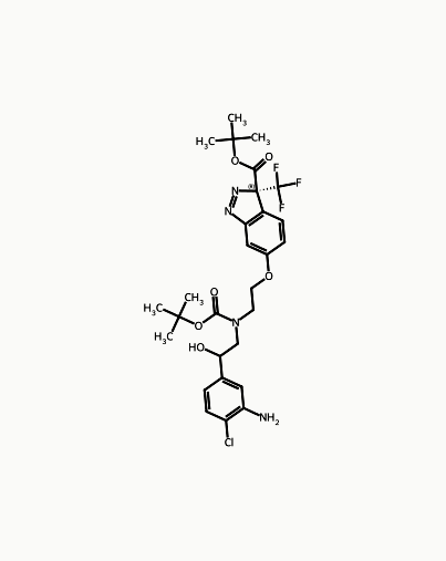 CC(C)(C)OC(=O)N(CCOc1ccc2c(c1)N=N[C@]2(C(=O)OC(C)(C)C)C(F)(F)F)CC(O)c1ccc(Cl)c(N)c1